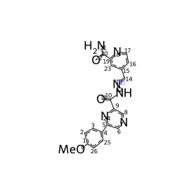 COc1ccc(-c2cncc(C(=O)N/N=C/c3ccnc(C(N)=O)c3)n2)cc1